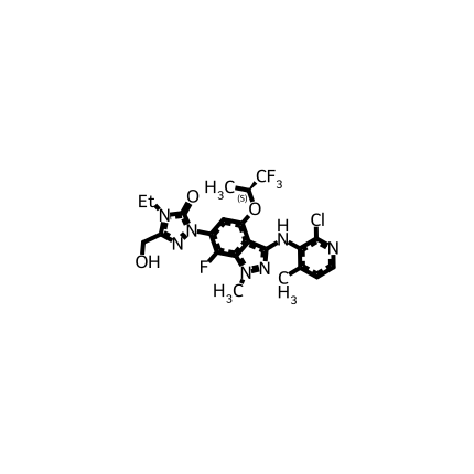 CCn1c(CO)nn(-c2cc(O[C@@H](C)C(F)(F)F)c3c(Nc4c(C)ccnc4Cl)nn(C)c3c2F)c1=O